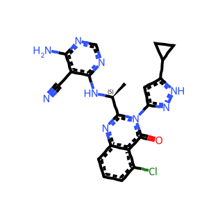 C[C@H](Nc1ncnc(N)c1C#N)c1nc2cccc(Cl)c2c(=O)n1-c1cc(C2CC2)[nH]n1